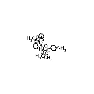 CC1(C)O[C@@H]2[C@H](O1)[C@@H](CO[Si](c1ccccc1)(c1ccccc1)C(C)(C)C)O[C@H]2c1ccc(N)cc1